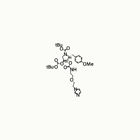 COc1ccc(C[C@@H]2[C@H](OC(=O)NCCOCCn3ccnc3)[C@@H](OC(=O)OC(C)(C)C)CN2C(=O)OC(C)(C)C)cc1